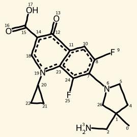 CC1(CN)CCN(c2c(F)cc3c(=O)c(C(=O)O)cn(C4CC4)c3c2F)C1